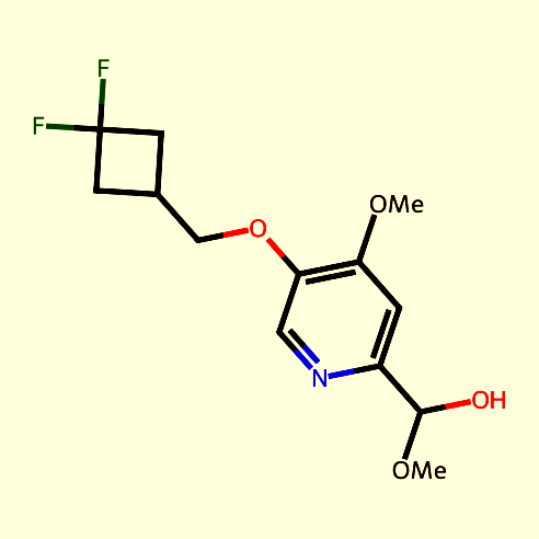 COc1cc(C(O)OC)ncc1OCC1CC(F)(F)C1